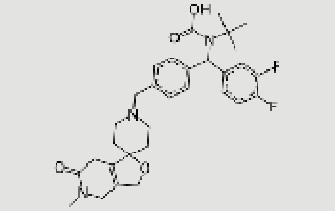 CN1CC2=C(CC1=O)C1(CCN(Cc3ccc(C(c4ccc(F)c(F)c4)N(C(=O)O)C(C)(C)C)cc3)CC1)OC2